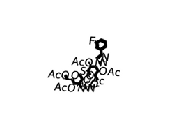 CC(=O)OCC1O[C@@H](SC2O[C@H](COC(C)=O)C(OC(C)=O)C(N=[N+]=[N-])[C@H]2OC(C)=O)[C@@H](OC(C)=O)C(n2cc(-c3cccc(F)c3)nn2)[C@H]1OC(C)=O